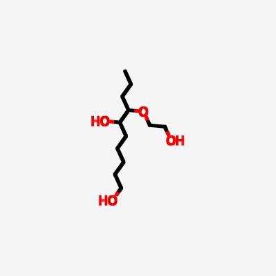 CCCC(OCCO)C(O)CCCCCO